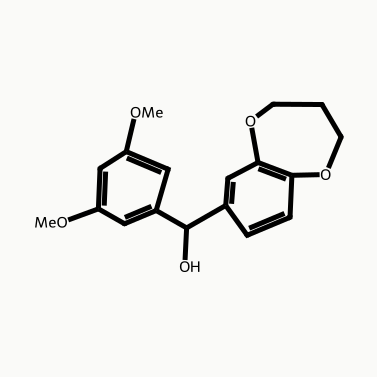 COc1cc(OC)cc(C(O)c2ccc3c(c2)OCCCO3)c1